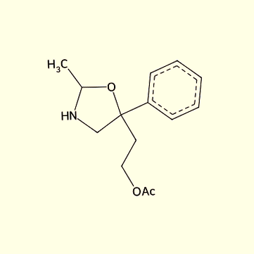 CC(=O)OCCC1(c2ccccc2)CNC(C)O1